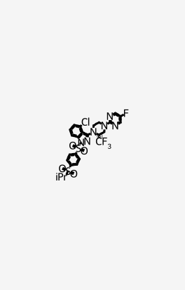 CC(C)S(=O)(=O)c1ccc(S(=O)(=O)n2nc(N3CCN(c4ncc(F)cn4)C[C@H]3C(F)(F)F)c3c(Cl)cccc32)cc1